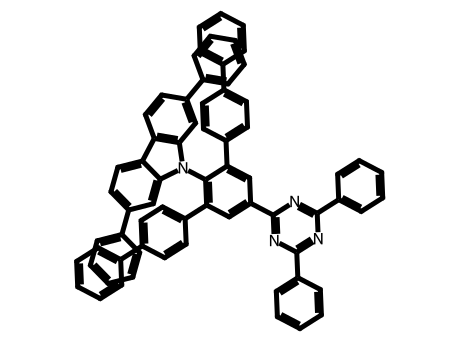 c1ccc(-c2ccc(-c3cc(-c4nc(-c5ccccc5)nc(-c5ccccc5)n4)cc(-c4ccc(-c5ccccc5)cc4)c3-n3c4cc(-c5ccccc5)ccc4c4ccc(-c5ccccc5)cc43)cc2)cc1